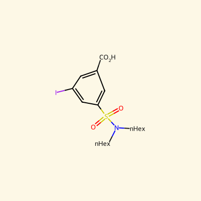 CCCCCCN(CCCCCC)S(=O)(=O)c1cc(I)cc(C(=O)O)c1